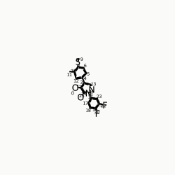 COc1c(-c2ccc(SC)c(C)c2)cnn(-c2ccc(F)c(F)c2)c1=O